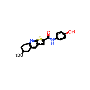 CC(C)(C)C1CCc2nc3sc(C(=O)Nc4ccc(O)cc4)cc3cc2C1